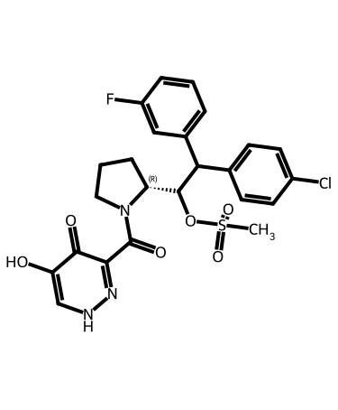 CS(=O)(=O)OC(C(c1ccc(Cl)cc1)c1cccc(F)c1)[C@H]1CCCN1C(=O)c1n[nH]cc(O)c1=O